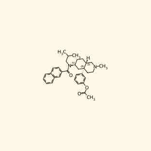 CC(=O)Oc1cccc([C@@]23CCN(C)C[C@H]2CC[C@H](N(CC(C)C)C(=O)c2ccc4ccccc4c2)C3)c1